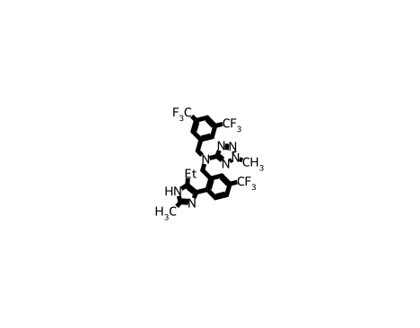 CCc1[nH]c(C)nc1-c1ccc(C(F)(F)F)cc1CN(Cc1cc(C(F)(F)F)cc(C(F)(F)F)c1)c1nnn(C)n1